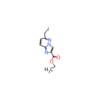 CCOC(=O)c1cn2nc(CI)ccc2n1